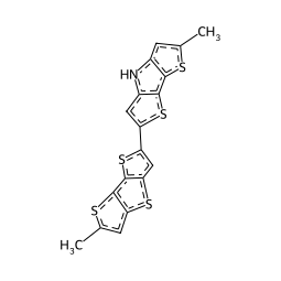 Cc1cc2[nH]c3cc(-c4cc5sc6cc(C)sc6c5s4)sc3c2s1